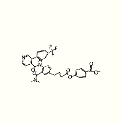 COC(=O)c1ccc(OC(=O)CCCc2ccc(NC(=O)c3ccncc3-c3ccc(C(F)(F)F)cc3)c(C(=O)N(C)C)c2)cc1